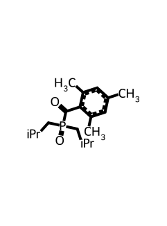 Cc1cc(C)c(C(=O)P(=O)(CC(C)C)CC(C)C)c(C)c1